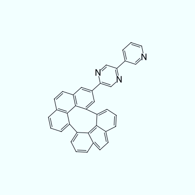 c1cncc(-c2cnc(-c3cc4ccc5cccc6c7cccc8ccc9cccc(c(c3)c4c56)c9c87)cn2)c1